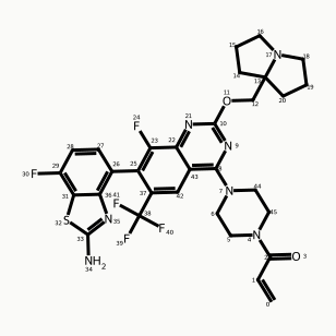 C=CC(=O)N1CCN(c2nc(OCC34CCCN3CCC4)nc3c(F)c(-c4ccc(F)c5sc(N)nc45)c(C(F)(F)F)cc23)CC1